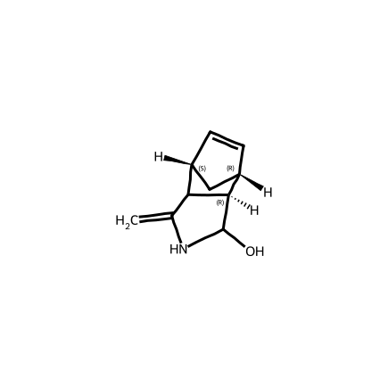 C=C1NC(O)[C@H]2C1[C@@H]1C=C[C@H]2C1